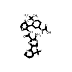 CC(C)(C)N1CCC(NC(=O)O)CC1c1cccnc1NC(=O)c1nc(-c2ncccc2C(F)(F)F)cnc1N